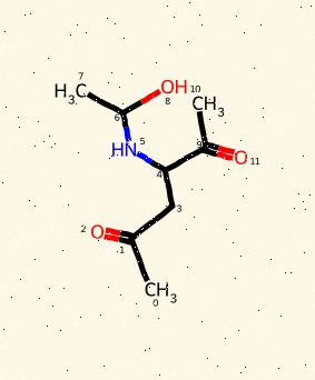 CC(=O)CC(NC(C)O)C(C)=O